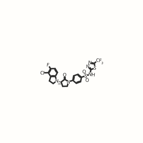 O=C1[C@@H](N2CCc3c2ccc(F)c3Cl)CCN1c1ccc(S(=O)(=O)Nc2nnc(C(F)(F)F)s2)cc1